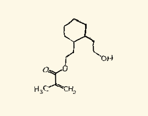 C=C(C)C(=O)OCCC1CCCCC1CCO